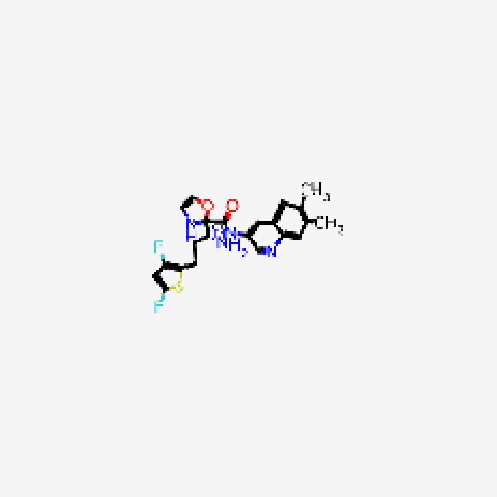 Cc1cc2cc(NC(=O)C3([C@H](N)CCc4sc(F)cc4F)NC=CO3)cnc2cc1C